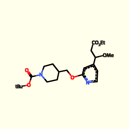 CCOC(=O)CC(OC)c1ccnc(OCC2CCN(C(=O)OC(C)(C)C)CC2)c1